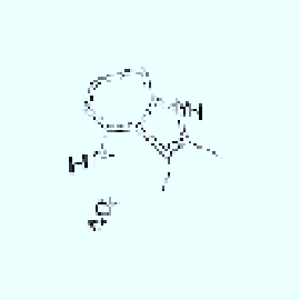 Cc1[nH]c2ccc[c]([Hf+2])c2c1C.[Cl-].[Cl-]